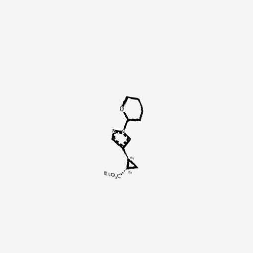 CCOC(=O)[C@H]1C[C@@H]1c1cnn(C2CCCCO2)c1